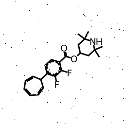 CC1(C)CC(OC(=O)c2ccc(C3C=CC=CC=C3)c(F)c2F)CC(C)(C)N1